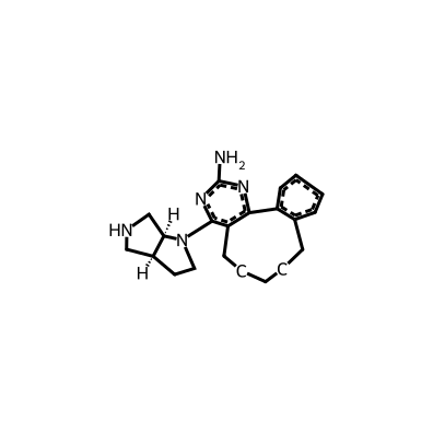 Nc1nc2c(c(N3CC[C@H]4CNC[C@H]43)n1)CCCCCc1ccccc1-2